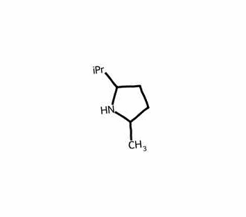 CC1CCC(C(C)C)N1